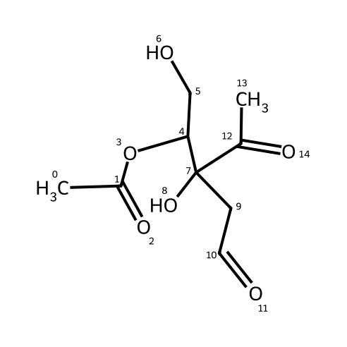 CC(=O)OC(CO)C(O)(CC=O)C(C)=O